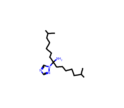 CC(C)CCCCCC(N)(CCCCCC(C)C)n1cncn1